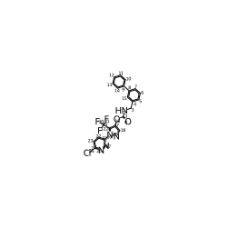 O=C(NCc1cccc(-c2ccccc2)c1)Oc1cnn(-c2ccc(Cl)nn2)c1C(F)(F)F